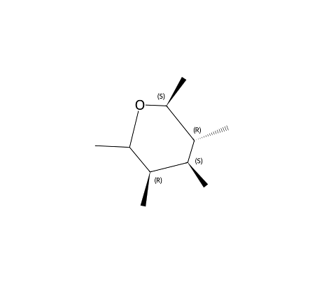 CC1O[C@@H](C)[C@H](C)[C@@H](C)[C@H]1C